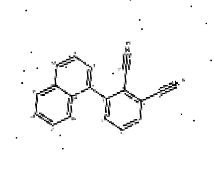 N#Cc1cccc(-c2cccc3ccccc23)c1C#N